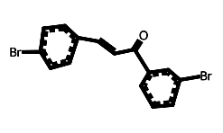 O=C(C=Cc1ccc(Br)cc1)c1cccc(Br)c1